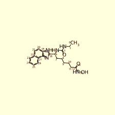 CCNC(=O)N[C@@H](CCCCCC(=O)NO)c1nc2c(ccc3ccccc32)[nH]1